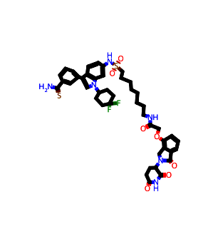 NC(=S)c1cccc(-c2cn(C3CCC(F)(F)CC3)c3cc(NS(=O)(=O)CCCCCCCCNC(=O)COc4cccc5c4CN(C4CCC(=O)NC4=O)C5=O)ccc23)c1